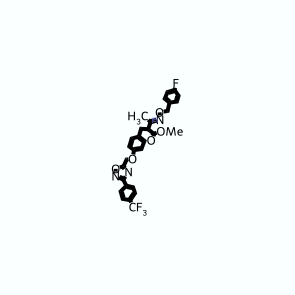 COC(=O)C(Cc1ccc(OCc2nc(-c3ccc(C(F)(F)F)cc3)no2)cc1)/C(C)=N/OCc1ccc(F)cc1